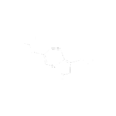 CCOC(=O)C1=C2C=CC(OC(F)F)=CN2NC1